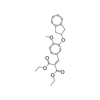 CCOC(=O)C(=Cc1ccc(OC)c(OC2Cc3ccccc3C2)c1)C(=O)OCC